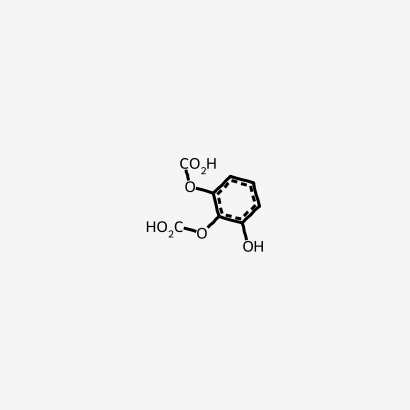 O=C(O)Oc1cccc(O)c1OC(=O)O